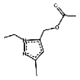 CCn1nc(C)cc1COC(C)=O